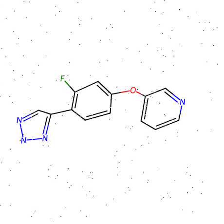 Fc1cc(Oc2cccnc2)ccc1C1=N[N]N=C1